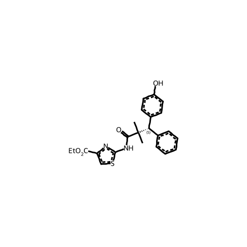 CCOC(=O)c1csc(NC(=O)C(C)(C)[C@@H](c2ccccc2)c2ccc(O)cc2)n1